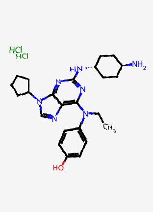 CCN(c1ccc(O)cc1)c1nc(N[C@H]2CC[C@H](N)CC2)nc2c1ncn2C1CCCC1.Cl.Cl